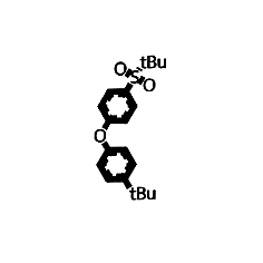 CC(C)(C)c1ccc(Oc2ccc(S(=O)(=O)C(C)(C)C)cc2)cc1